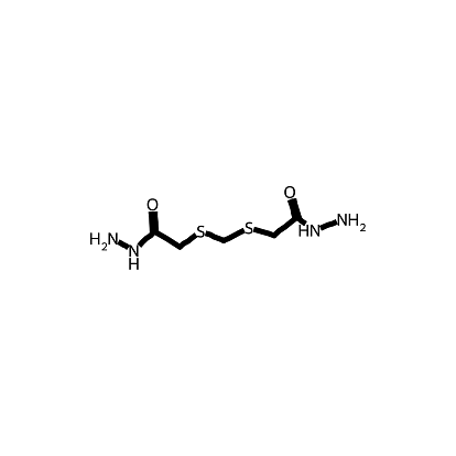 NNC(=O)CSCSCC(=O)NN